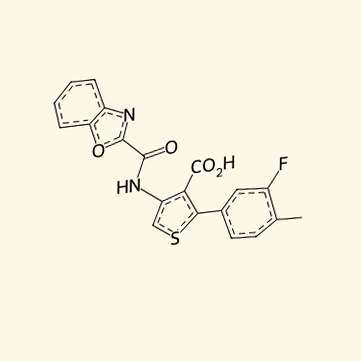 Cc1ccc(-c2scc(NC(=O)c3nc4ccccc4o3)c2C(=O)O)cc1F